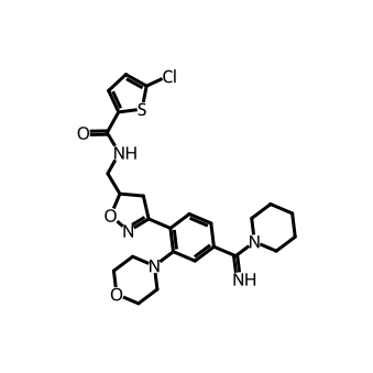 N=C(c1ccc(C2=NOC(CNC(=O)c3ccc(Cl)s3)C2)c(N2CCOCC2)c1)N1CCCCC1